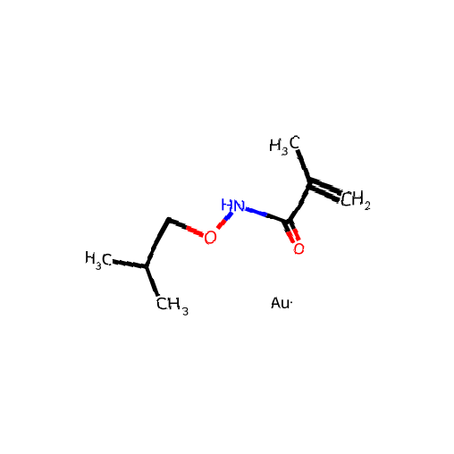 C=C(C)C(=O)NOCC(C)C.[Au]